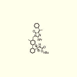 CCCCOC(=O)NS(=O)(=O)c1ccccc1-c1ccc(CN2C(=O)C(=C(C)c3ccccc3)N=C2CCC)c(C)c1